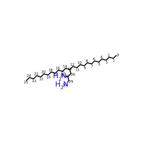 CCCCCCCCCCCCCC(CCCCCCCCCCCC)CC(N)CN